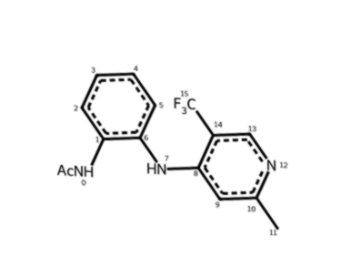 CC(=O)Nc1ccccc1Nc1cc(C)ncc1C(F)(F)F